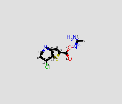 C/C(N)=N/OC(=O)c1cc2nccc(Cl)c2s1